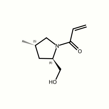 C=CC(=O)N1C[C@@H](C)C[C@@H]1CO